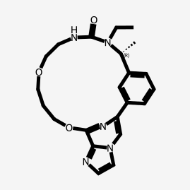 CCN1C(=O)NCCOCCCOc2nc(cn3ccnc23)-c2cccc(c2)[C@H]1C